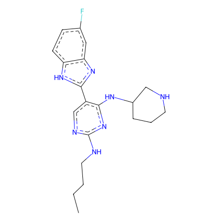 CCCCNc1ncc(-c2nc3cc(F)ccc3[nH]2)c(NC2CCCNC2)n1